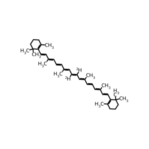 [2H]C(/C=C(C)/C=C/C=C(C)/C=C/C1=C(C)CCCC1(C)C)=C([2H])\C=C(C)\C=C\C=C(C)\C=C\C1=C(C)CCCC1(C)C